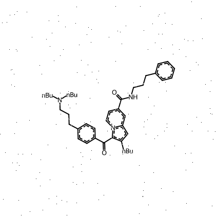 CCCCc1cc2cc(C(=O)NCCCc3ccccc3)ccn2c1C(=O)c1ccc(CCCN(CCCC)CCCC)cc1